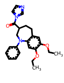 CCOc1cc2c(cc1OCC)N(c1ccccc1)CC(C(=O)n1ccnc1)CC2